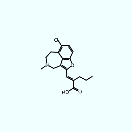 CCC/C(=C\c1oc2ccc(Cl)c3c2c1CN(C)CC3)C(=O)O